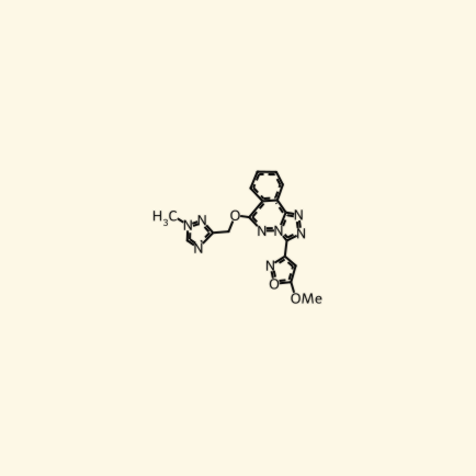 COc1cc(-c2nnc3c4ccccc4c(OCc4ncn(C)n4)nn23)no1